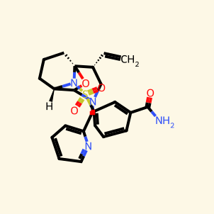 C=C[C@@H]1CN(Cc2ccccn2)C2O[C@]13CCC[C@@H]2N3S(=O)(=O)c1cccc(C(N)=O)c1